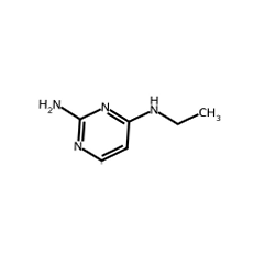 CCNc1c[c]nc(N)n1